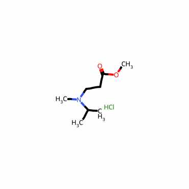 COC(=O)CCN(C)C(C)C.Cl